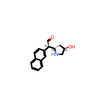 O=C[C@H](c1ccc2ccccc2c1)[C@@H]1C[C@@H](O)CN1